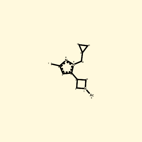 CC(=O)N1CC(c2cc(I)nn2CC2CC2)C1